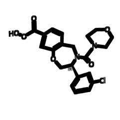 O=C(OO)c1ccc2c(c1)OC[C@H](c1cccc(Cl)c1)N(C(=O)N1CCOCC1)C2